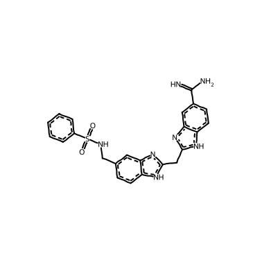 N=C(N)c1ccc2[nH]c(Cc3nc4cc(CNS(=O)(=O)c5ccccc5)ccc4[nH]3)nc2c1